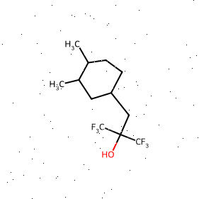 CC1CCC(CC(O)(C(F)(F)F)C(F)(F)F)CC1C